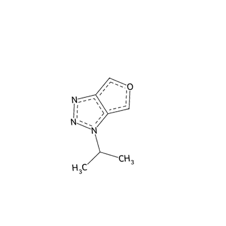 CC(C)n1nnc2cocc21